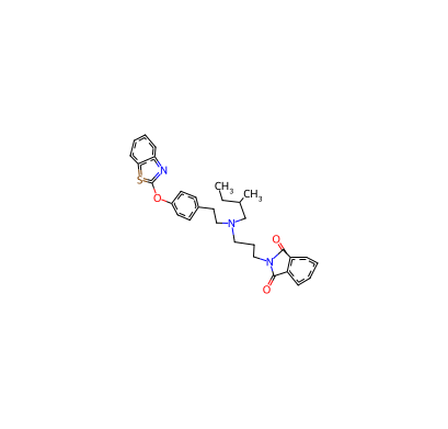 CCC(C)CN(CCCN1C(=O)c2ccccc2C1=O)CCc1ccc(Oc2nc3ccccc3s2)cc1